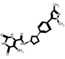 Cc1cc(-c2ccc([C@H]3CC[C@@H](NC(=O)c4[nH]c(=O)[nH]c(=O)c4N)C3)cc2)n(C)n1